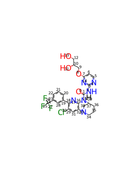 O=C(Nc1nccc(OC[C@@H](O)CO)n1)N1c2nc(-c3cccc(C(F)(F)F)c3)c(Cl)cc2N2CCC[C@H]1C2